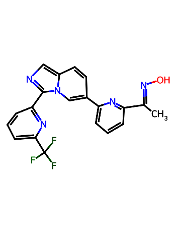 CC(=NO)c1cccc(-c2ccc3cnc(-c4cccc(C(F)(F)F)n4)n3c2)n1